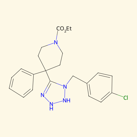 CCOC(=O)N1CCC(C2=NNNN2Cc2ccc(Cl)cc2)(c2ccccc2)CC1